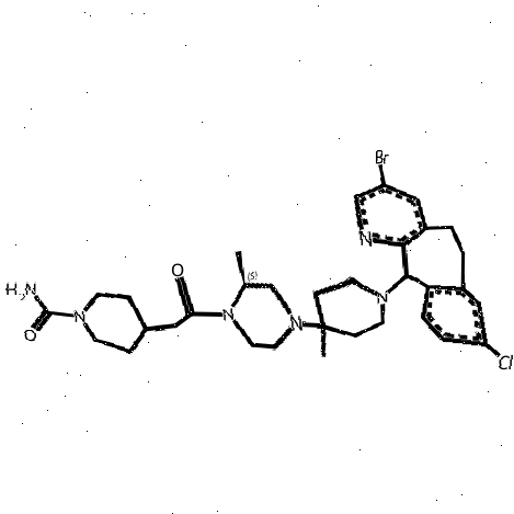 C[C@H]1CN(C2(C)CCN(C3c4ccc(Cl)cc4CCc4cc(Br)cnc43)CC2)CCN1C(=O)CC1CCN(C(N)=O)CC1